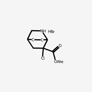 Br.COC(=O)C1(Cl)CC2CCC1NC2